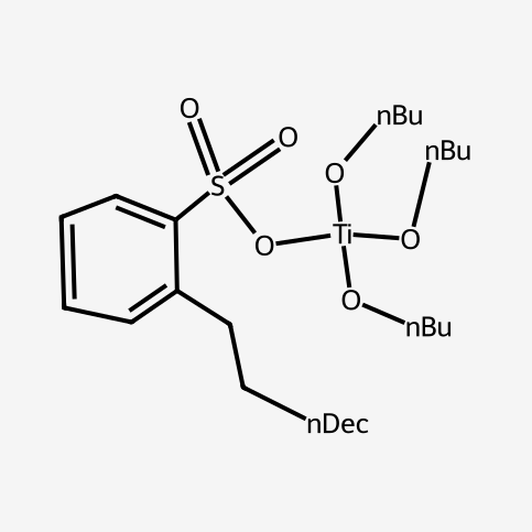 CCCCCCCCCCCCc1ccccc1S(=O)(=O)[O][Ti]([O]CCCC)([O]CCCC)[O]CCCC